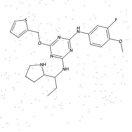 CCC(Nc1nc(Nc2ccc(OC)c(F)c2)nc(OCc2cccs2)n1)C1CCCN1